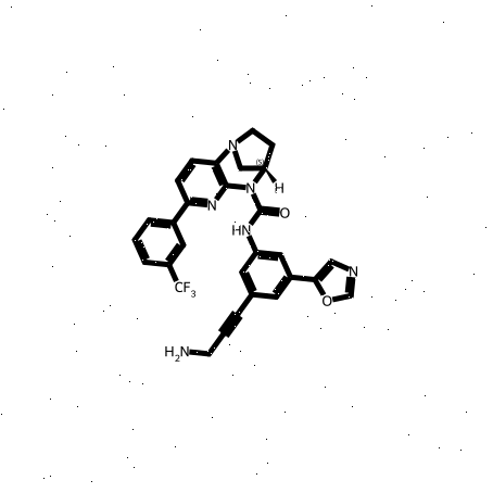 NCC#Cc1cc(NC(=O)N2c3nc(-c4cccc(C(F)(F)F)c4)ccc3N3CC[C@H]2C3)cc(-c2cnco2)c1